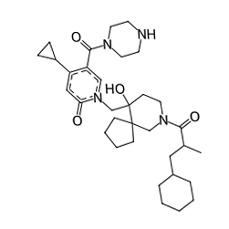 CC(CC1CCCCC1)C(=O)N1CCC(O)(Cn2cc(C(=O)N3CCNCC3)c(C3CC3)cc2=O)C2(CCCC2)C1